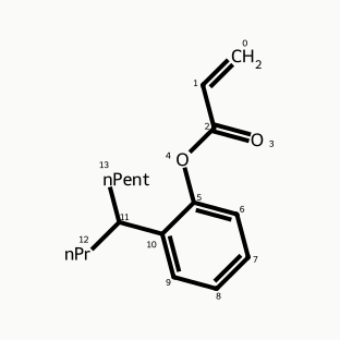 C=CC(=O)Oc1ccccc1C(CCC)CCCCC